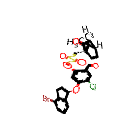 CC1(C)[C@@H]2CC[C@@]1(CS(=O)(=O)Oc1cc(O[C@H]3CCc4c(Br)cccc43)c(Cl)cc1C=O)C(=O)C2